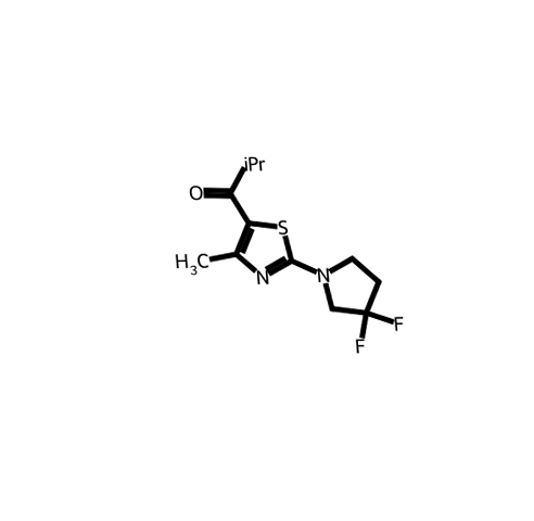 Cc1nc(N2CCC(F)(F)C2)sc1C(=O)C(C)C